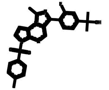 Cc1ccc(S(=O)(=O)n2ccc3c2ncc2c(-c4ccc(C(C)(C)O)cc4F)nc(C)n23)cc1